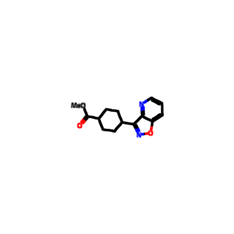 COC(=O)C1CCC(c2noc3cccnc23)CC1